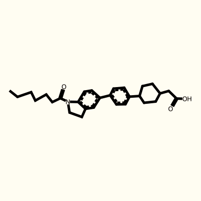 CCCCCCC(=O)N1CCc2cc(-c3ccc(C4CCC(CC(=O)O)CC4)cc3)ccc21